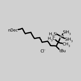 CCCCCCCCCCCCCCCCCCC(C(C)(C)C)C(C)(C)[N+]([SiH3])([SiH3])[SiH3].[Cl-]